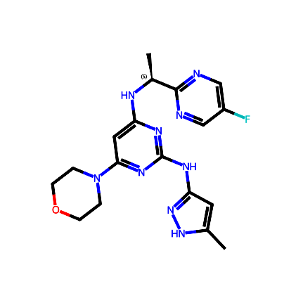 Cc1cc(Nc2nc(N[C@@H](C)c3ncc(F)cn3)cc(N3CCOCC3)n2)n[nH]1